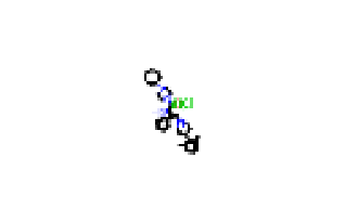 Cc1cccc(C)c1C1CCN(Cc2c(C(=O)N3CCN(C4CCCCCC4)CC3)[nH]c3ccccc23)CC1.Cl.Cl